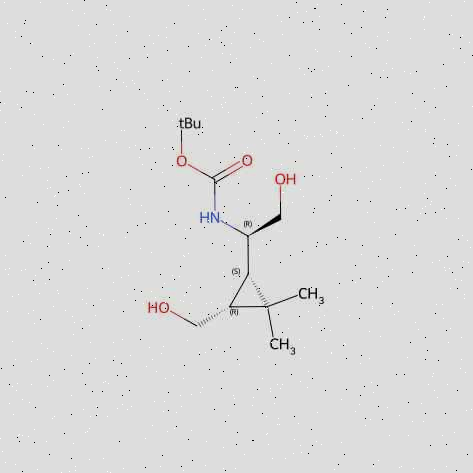 CC(C)(C)OC(=O)N[C@@H](CO)[C@H]1[C@@H](CO)C1(C)C